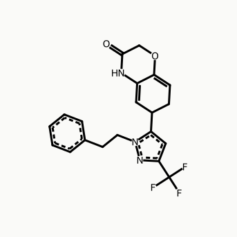 O=C1COC2=CCC(c3cc(C(F)(F)F)nn3CCc3ccccc3)C=C2N1